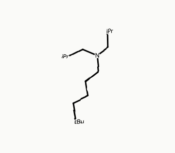 CC(C)CN(CCCCC(C)(C)C)CC(C)C